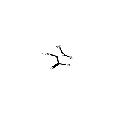 CCCC(=O)CC(=O)[O-].CC[O][Al+]